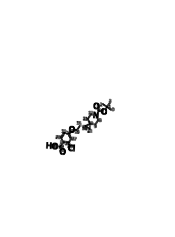 CC(C)(C)OC(=O)N1CCC2(CC1)C[C@@H]2CCOc1ccc(C(=O)O)c(Cl)c1